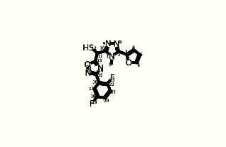 Cn1c(-c2ccco2)nnc1C(S)c1nc(-c2cc(F)ccc2F)no1